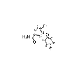 NC(=O)c1ccc(F)c(Oc2ccc(F)cc2)c1